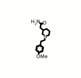 COc1ccc(CCN2CCCC(CC(N)=O)C2)cc1